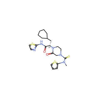 CN(C(=S)N1CCN([C@@H](CC2CCCCC2)C(=O)Nc2nccs2)C(=O)C1)c1cccs1